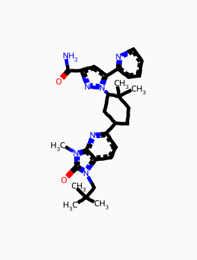 Cn1c(=O)n(CC(C)(C)C)c2ccc(C3CCC(C)(C)C(n4nc(C(N)=O)cc4-c4ccccn4)C3)nc21